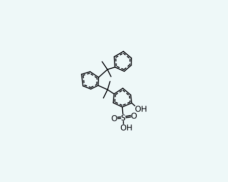 CC(C)(c1ccccc1)c1ccccc1C(C)(C)c1ccc(O)c(S(=O)(=O)O)c1